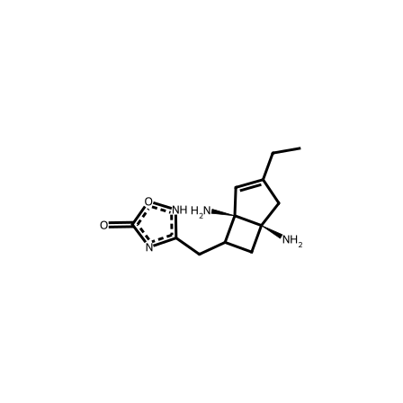 CCC1=C[C@@]2(N)C(Cc3nc(=O)o[nH]3)C[C@@]2(N)C1